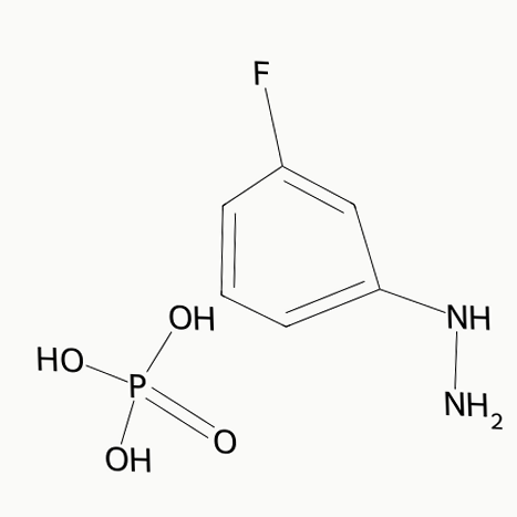 NNc1cccc(F)c1.O=P(O)(O)O